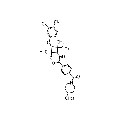 CC1(C)[C@H](NC(=O)c2ccc(C(=O)N3CCC(C=O)CC3)cc2)C(C)(C)[C@H]1Oc1ccc(C#N)c(Cl)c1